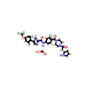 Cn1c(-c2ccc(OC(F)F)cc2F)cnc1C(=O)Nc1ccc(C(=O)N2CCN(C(=O)C[C@@H]3CCCN3)CC2)c(Cl)c1.O=CO